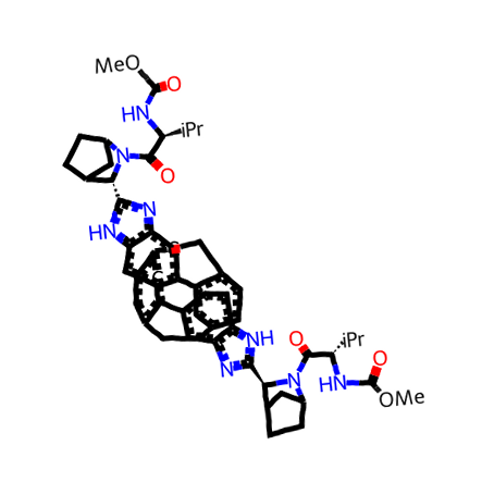 COC(=O)N[C@H](C(=O)N1C2CCC(C2)[C@H]1c1nc2cc(-c3cc4ccc3CCc3ccc(c(-c5ccc6[nH]c([C@@H]7C8CCC(C8)N7C(=O)[C@@H](NC(=O)OC)C(C)C)nc6c5)c3)CC4)ccc2[nH]1)C(C)C